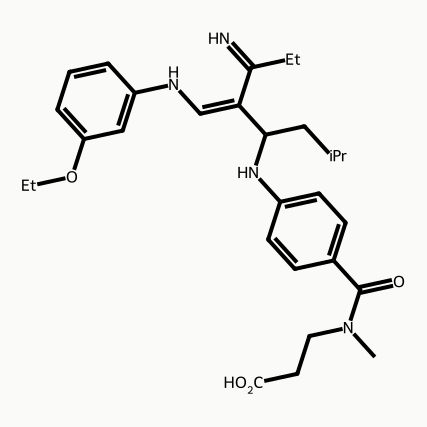 CCOc1cccc(N/C=C(\C(=N)CC)C(CC(C)C)Nc2ccc(C(=O)N(C)CCC(=O)O)cc2)c1